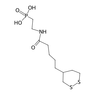 O=C(CCCCC1CCSSC1)NCCP(=O)(O)O